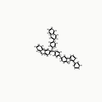 c1ccc(-c2cccc3c2oc2ccc(-c4ccc(N(c5ccc(-c6ccc7ccccc7c6)cc5)c5ccc6sc7ccccc7c6c5)cc4)cc23)cc1